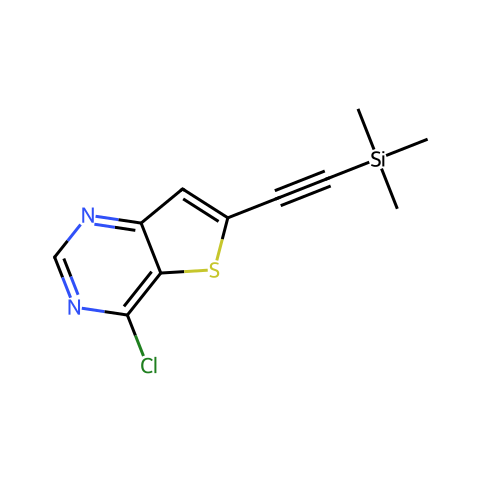 C[Si](C)(C)C#Cc1cc2ncnc(Cl)c2s1